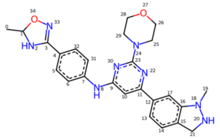 CC1NC(c2ccc(Nc3cc(-c4ccc5c(c4)N(C)NC5)nc(N4CCOCC4)n3)cc2)=NO1